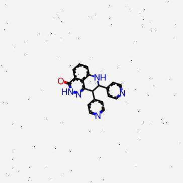 O=c1[nH]nc2c3c(cccc13)NC(c1ccncc1)C2c1ccncc1